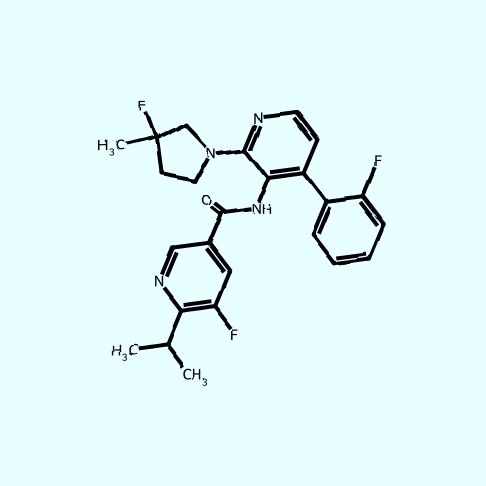 CC(C)c1ncc(C(=O)Nc2c(-c3ccccc3F)ccnc2N2CCC(C)(F)C2)cc1F